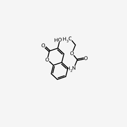 CCOC(N)=O.O=c1oc2ccccc2cc1O